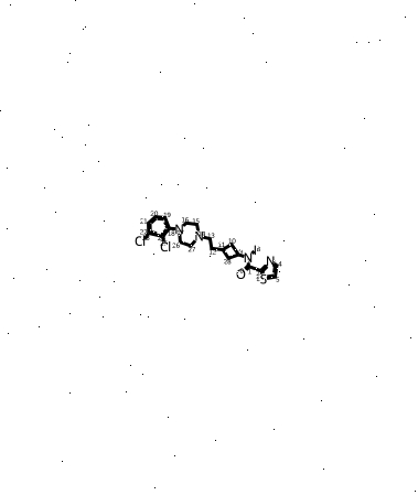 O=C(c1nccs1)N(I)C1CC(CCN2CCN(c3cccc(Cl)c3Cl)CC2)C1